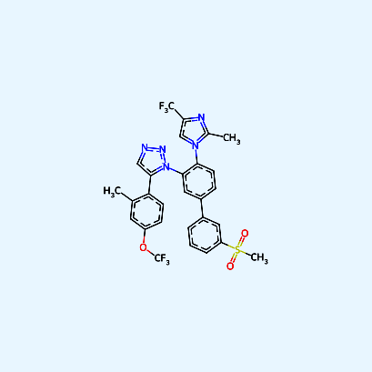 Cc1cc(OC(F)(F)F)ccc1-c1cnnn1-c1cc(-c2cccc(S(C)(=O)=O)c2)ccc1-n1cc(C(F)(F)F)nc1C